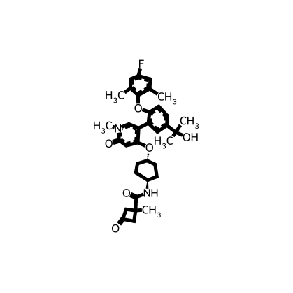 Cc1cc(F)cc(C)c1Oc1ccc(C(C)(C)O)cc1-c1cn(C)c(=O)cc1O[C@H]1CC[C@H](NC(=O)C2(C)CC(=O)C2)CC1